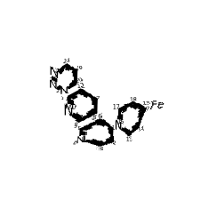 [Fe].c1ccncc1.c1ccncc1.c1ccncc1.c1cnnnc1